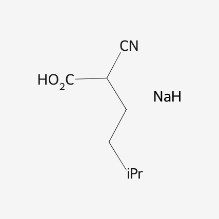 CC(C)CCC(C#N)C(=O)O.[NaH]